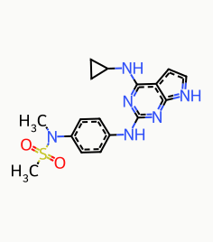 CN(c1ccc(Nc2nc(NC3CC3)c3cc[nH]c3n2)cc1)S(C)(=O)=O